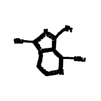 CC(C)c1nc(C(C)(C)C)n2ccnc(C(C)(C)C)c12